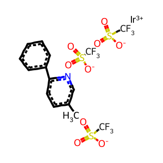 Cc1ccc(-c2ccccc2)nc1.O=S(=O)([O-])C(F)(F)F.O=S(=O)([O-])C(F)(F)F.O=S(=O)([O-])C(F)(F)F.[Ir+3]